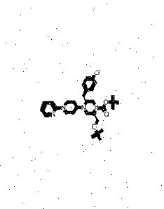 CC(C)(C)OC[C@H]1CN(C2CCN(c3ccccn3)CC2)[C@@H](Cc2ccc(Cl)cc2)CN1C(=O)OC(C)(C)C